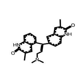 Cc1cc2cc(/C(=C/CN(C)C)c3cccc4[nH]c(=O)c(C)cc34)ccc2[nH]c1=O